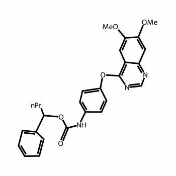 CCCC(OC(=O)Nc1ccc(Oc2ncnc3cc(OC)c(OC)cc23)cc1)c1ccccc1